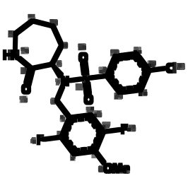 COc1cc(F)c(CN([C@@H]2CCCCNC2=O)S(=O)(=O)c2ccc(Cl)cc2)cc1F